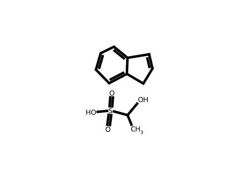 C1=Cc2ccccc2C1.CC(O)S(=O)(=O)O